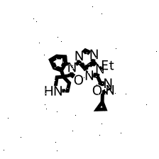 CCn1c(-c2nnc(C3CC3)o2)nc2c(N3C(=O)C4(CCNCC4)c4ccccc43)ncnc21